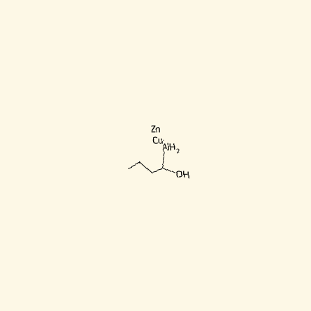 CCC[CH](O)[AlH2].[Cu].[Zn]